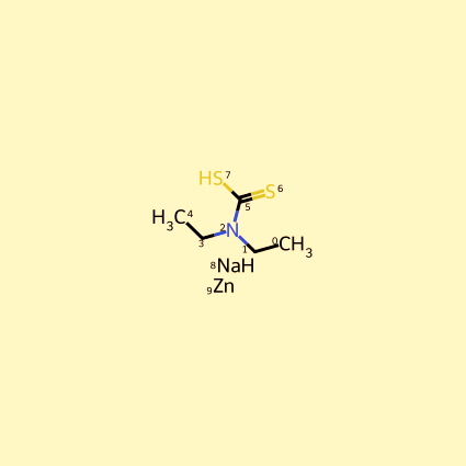 CCN(CC)C(=S)S.[NaH].[Zn]